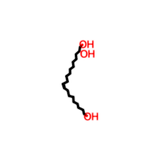 OCCCCCCCC/C=C\CCCCCCCCC(O)CO